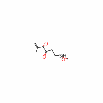 C=C(C)C(=O)C(=O)CC[SiH2]OC